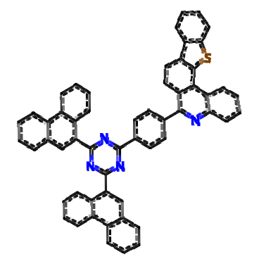 c1ccc2c(c1)cc(-c1nc(-c3ccc(-c4nc5ccccc5c5c4ccc4c6ccccc6sc45)cc3)nc(-c3cc4ccccc4c4ccccc34)n1)c1ccccc12